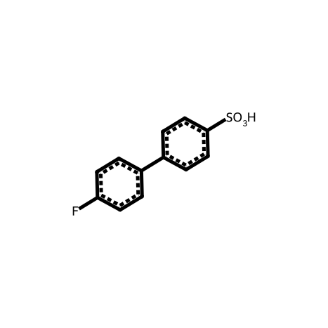 O=S(=O)(O)c1ccc(-c2ccc(F)cc2)cc1